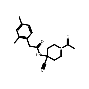 CC(=O)N1CCC(C#N)(NC(=O)Cc2ccc(C)cc2C)CC1